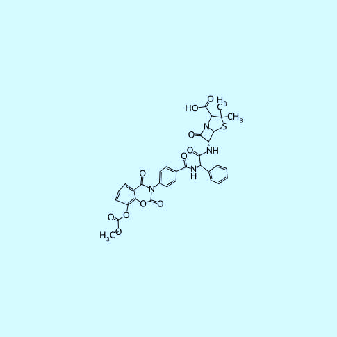 COC(=O)Oc1cccc2c(=O)n(-c3ccc(C(=O)N[C@@H](C(=O)N[C@@H]4C(=O)N5C4SC(C)(C)C5C(=O)O)c4ccccc4)cc3)c(=O)oc12